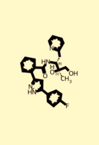 C[C@@](O)(CO)[C@@H](Cc1ccccn1)NC(=O)c1ccccc1-c1cc(-c2ccc(F)cc2)[nH]n1